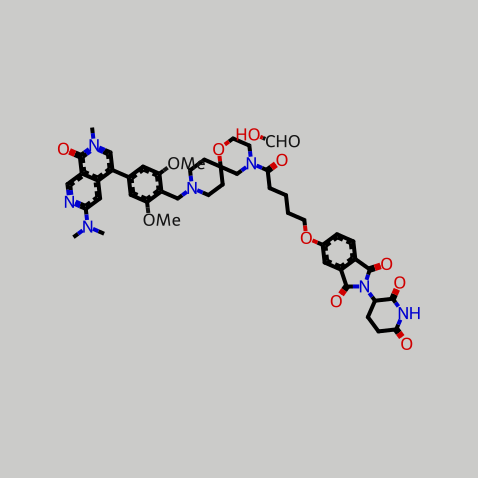 COc1cc(-c2cn(C)c(=O)c3cnc(N(C)C)cc23)cc(OC)c1CN1CCC2(CC1)CN(C(=O)CCCCOc1ccc3c(c1)C(=O)N(C1CCC(=O)NC1=O)C3=O)CCO2.O=CO